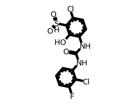 O=C(Nc1ccc(Cl)c([SH](=O)=O)c1O)Nc1cccc(F)c1Cl